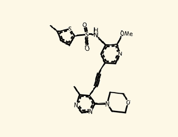 COc1ncc(C#Cc2c(C)ncnc2N2CCOCC2)cc1NS(=O)(=O)c1ccc(C)s1